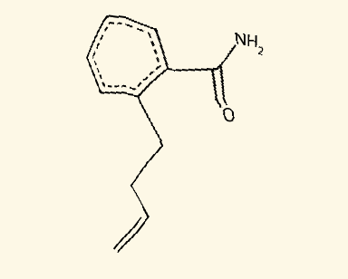 C=CCCc1ccccc1C(N)=O